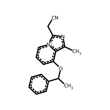 Cc1nc(CC#N)n2cccc(OC(C)c3ccccc3)c12